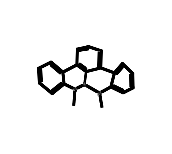 CN1B2c3c(cccc3-c3ccccc3N2C)-c2ccccc21